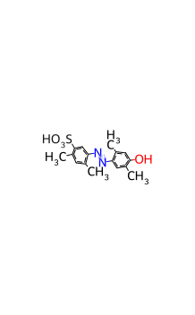 Cc1cc(/N=N/c2cc(S(=O)(=O)O)c(C)cc2C)c(C)cc1O